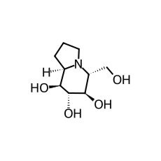 OC[C@@H]1[C@@H](O)[C@H](O)[C@@H](O)[C@H]2CCCN21